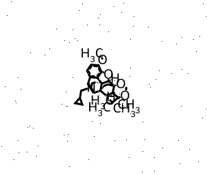 COc1ccc2c3c1O[C@H]1[C@@]45CC[C@@]6(C[C@@H]4[C@@](C)(C(C)(C)C)OCO5)C(C2)N(CC2CC2)CC[C@]316